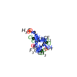 CC(C)C(=O)NCCN1CC(C[C@H](c2ccc(Cl)cc2Cl)n2nc(C(F)(F)F)c3ncc(N4CC([C@H]5CC(C[C@H](c6ccc(Cl)cc6Cl)n6nc(C(F)(F)F)c7ncc(N8CC([C@H]9CCCN(CCCS(C)(=O)=O)C9)C8)nc76)CN(CCNC(=O)C(C)C)C5)C4)nc32)C[C@@H](C2CN(c3cnc4c(C(F)(F)F)nn([C@H](C)c5ccc(Cl)cc5Cl)c4n3)C2)C1